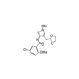 COc1ccc(Cl)cc1C(=O)N=c1sn(C(C)(C)C)cc1CC1OCCO1